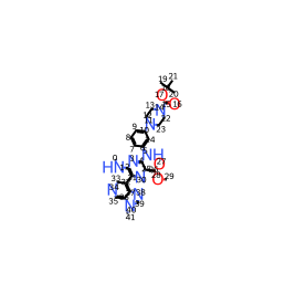 CNc1nc(Nc2cccc(N3CCN(C(=O)OC(C)(C)C)CC3)c2)c(C(=O)OC)nc1-c1cncc2c1ncn2C